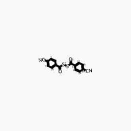 N#Cc1ccc(C(=O)SSC(=O)c2ccc(C#N)cc2)cc1